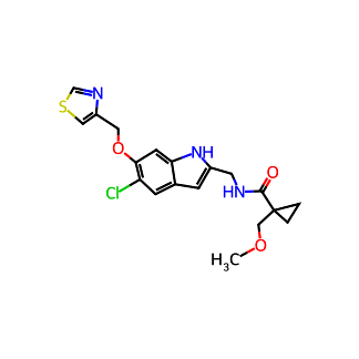 COCC1(C(=O)NCc2cc3cc(Cl)c(OCc4cscn4)cc3[nH]2)CC1